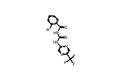 O=C(NC(=O)c1ccccc1Br)Nc1cnc(C(F)(F)F)cn1